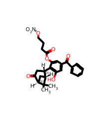 CC1(C)[C@@H]2C[C@@H]1[C@@H](c1c(O)cc(C(=O)c3ccccc3)cc1OC(=O)CCCO[N+](=O)[O-])CC2=O